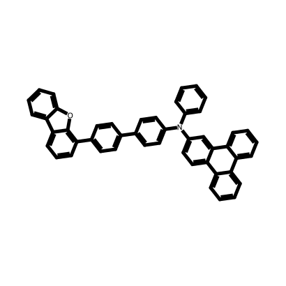 c1ccc(N(c2ccc(-c3ccc(-c4cccc5c4oc4ccccc45)cc3)cc2)c2ccc3c4ccccc4c4ccccc4c3c2)cc1